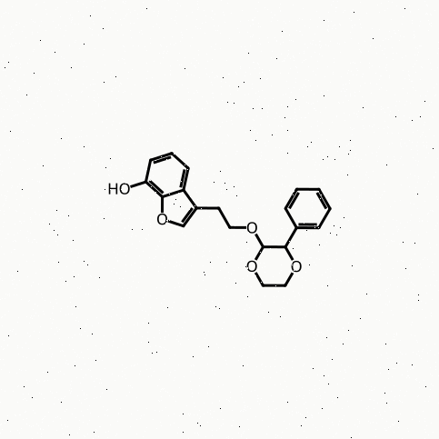 Oc1cccc2c(CCOC3OCCOC3c3ccccc3)coc12